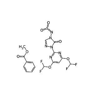 COC(=O)c1ccccc1.O=c1n(N=S(=O)=O)cnn1-c1nc(OC(F)F)cc(OC(F)F)n1